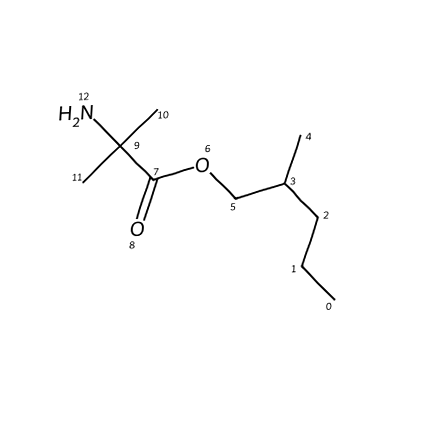 CCCC(C)COC(=O)C(C)(C)N